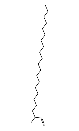 CCCCCCCCCCCCCCCCCCCC(C)[C]=S